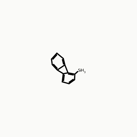 [SiH3]c1cccc2c1-c1ccccc1-2